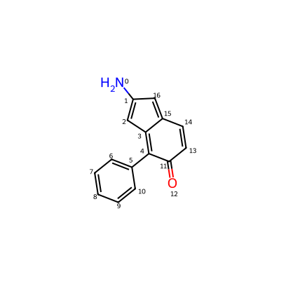 NC1=CC2=C(c3ccccc3)C(=O)C=CC2=C1